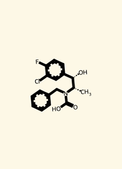 C[C@@H]([C@@H](O)c1ccc(F)c(Cl)c1)N(Cc1ccccc1)C(=O)O